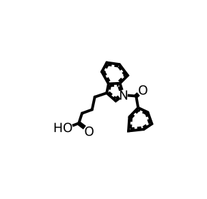 O=C(O)CCCc1cn(C(=O)c2ccccc2)c2ccccc12